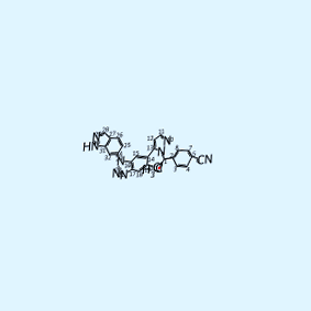 CC(c1ccc(C#N)cc1)n1nccc1-c1cc2c(cc1Cl)nnn2-c1ccc2cn[nH]c2c1